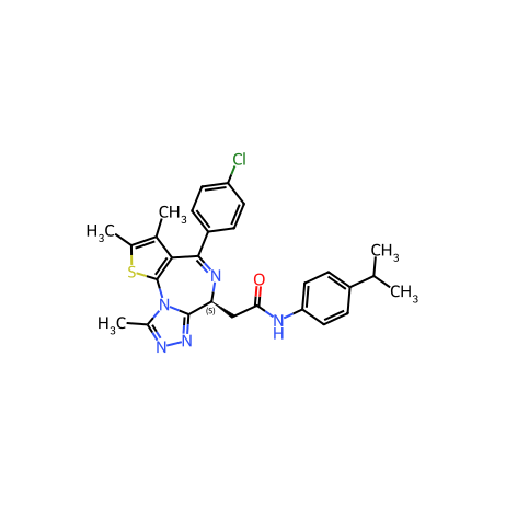 Cc1sc2c(c1C)C(c1ccc(Cl)cc1)=N[C@@H](CC(=O)Nc1ccc(C(C)C)cc1)c1nnc(C)n1-2